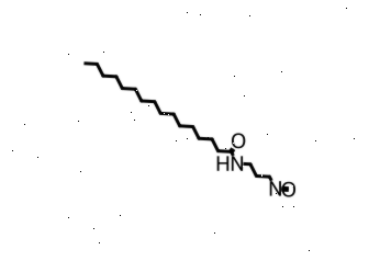 CCCCCCCCCCCCCCCC(=O)NCCCN=O